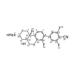 CCCCCC[C@@H]1CC[C@@H]2c3ccc(-c4cc(F)c(C#N)c(F)c4)c(F)c3CC[C@H]2C1